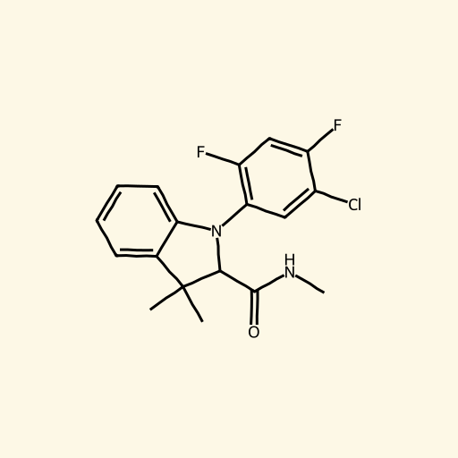 CNC(=O)C1N(c2cc(Cl)c(F)cc2F)c2ccccc2C1(C)C